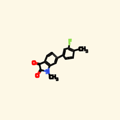 Cc1ccc(-c2ccc3c(c2)N(C)C(=O)C3=O)cc1F